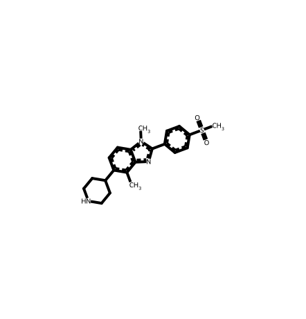 Cc1c(C2CCNCC2)ccc2c1nc(-c1ccc(S(C)(=O)=O)cc1)n2C